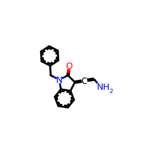 NC=C=C1C(=O)N(Cc2ccccc2)c2ccccc21